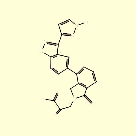 C=C(CN1Cc2c(cccc2-c2ccc3[nH]nc(-c4ccn(C)n4)c3c2)C1=O)C(N)=O